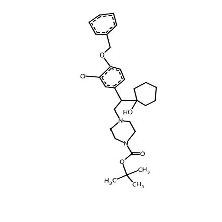 CC(C)(C)OC(=O)N1CCN(CC(c2ccc(OCc3ccccc3)c(Cl)c2)C2(O)CCCCC2)CC1